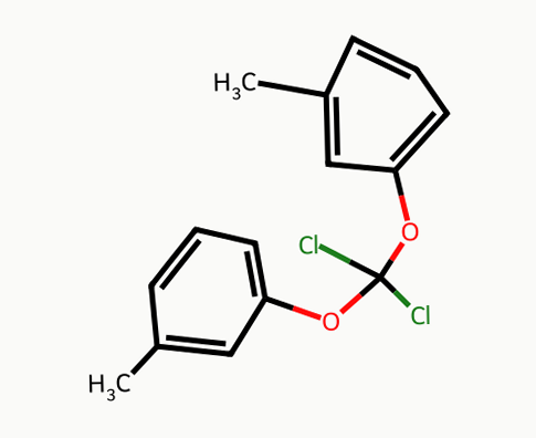 Cc1cccc(OC(Cl)(Cl)Oc2cccc(C)c2)c1